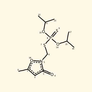 Cc1cc(=O)n(CSP(=S)(OC(C)C)OC(C)C)o1